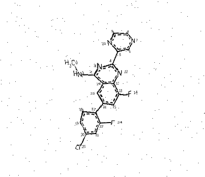 CNc1nc(-c2cnccn2)nc2c(F)cc(-c3ccc(Cl)cc3F)cc12